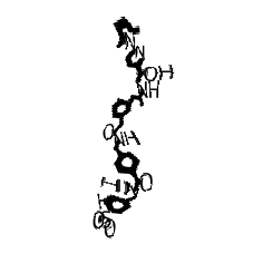 Cc1ccc(C)n1-c1ccc([C@@H](O)CNC(C)Cc2cccc(CC(=O)NCc3ccc(C(=O)NCc4ccc([SH](=O)=O)cc4)cc3)c2)cn1